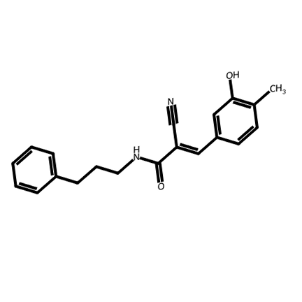 Cc1ccc(/C=C(\C#N)C(=O)NCCCc2ccccc2)cc1O